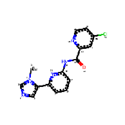 CCCCn1cncc1-c1cccc(NC(=O)c2cc(Cl)ccn2)n1